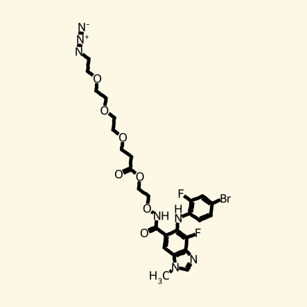 Cn1cnc2c(F)c(Nc3ccc(Br)cc3F)c(C(=O)NOCCOC(=O)CCOCCOCCOCCN=[N+]=[N-])cc21